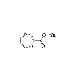 CC(C)(C)OC(=O)C1=CN=CC=CO1